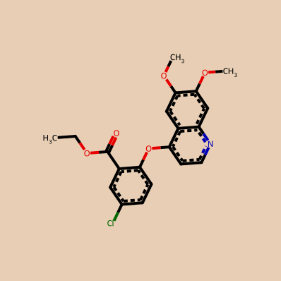 CCOC(=O)c1cc(Cl)ccc1Oc1ccnc2cc(OC)c(OC)cc12